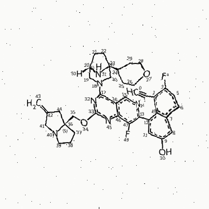 C#Cc1c(F)ccc2cc(O)cc(-c3ncc4c(N5C[C@@H]6CC[C@](C7CCOCC7)(C5)N6)nc(OC[C@@]56CCCN5CC(=C)C6)nc4c3F)c12